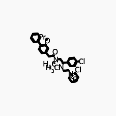 CC(C)Oc1cc(CC(=O)N(C)CC(c2ccc(Cl)c(Cl)c2)N(C)CC[N+]23CCC(CC2)CC3)ccc1-c1ccccc1